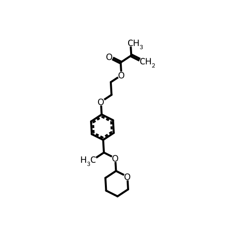 C=C(C)C(=O)OCCOc1ccc(C(C)OC2CCCCO2)cc1